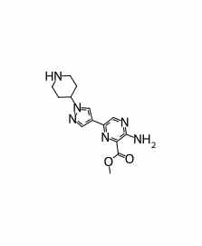 COC(=O)c1nc(-c2cnn(C3CCNCC3)c2)cnc1N